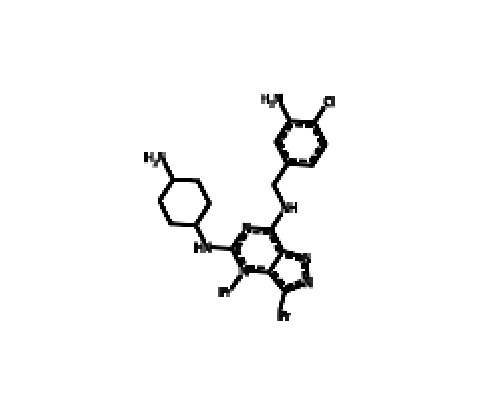 CC(C)c1nnc2c(NCc3ccc(Cl)c(N)c3)nc(NC3CCC(N)CC3)n(C(C)C)c1-2